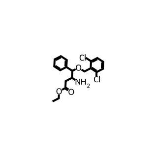 CCOC(=O)CC(N)C(OCc1c(Cl)cccc1Cl)c1ccccc1